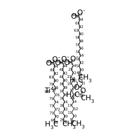 CCC(=O)OC(C)C.CCCCCCCCCCCCCCCCCC(=O)[O-].CCCCCCCCCCCCCCCCCC(=O)[O-].CCCCCCCCCCCCCCCCCC(=O)[O-].CCCCCCCCCCCCCCCCCC(=O)[O-].[Ti+4]